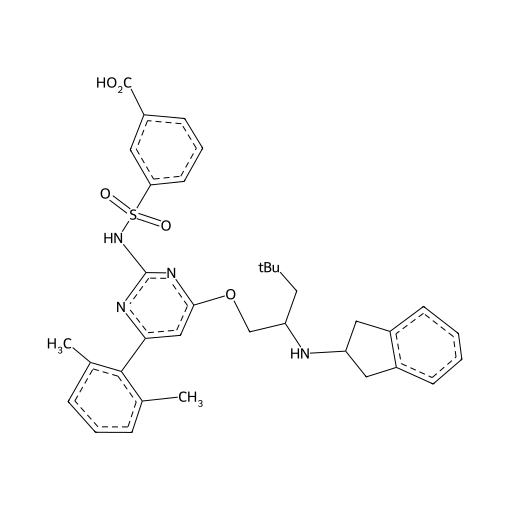 Cc1cccc(C)c1-c1cc(OCC(CC(C)(C)C)NC2Cc3ccccc3C2)nc(NS(=O)(=O)c2cccc(C(=O)O)c2)n1